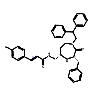 O=C(/C=C/c1ccc(I)cc1)NC[C@@H]1CCN(CC(c2ccccc2)c2ccccc2)C(=O)[C@H](Cc2ccccc2)N1